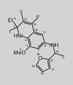 CCC1(C)Nc2c(OC)cc(NC(C)c3ccco3)cc2C(C)=C1C